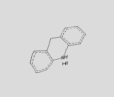 I.c1ccc2c(c1)Cc1ccccc1N2